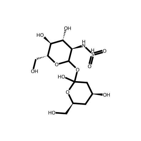 O=[SH](=O)N[C@H]1C(OC2(O)C[C@@H](O)C[C@@H](CO)O2)O[C@H](CO)[C@@H](O)[C@@H]1O